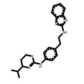 CC(C)C1CCSC(Nc2ccc(CCNc3nc4ccccc4s3)cc2)=N1